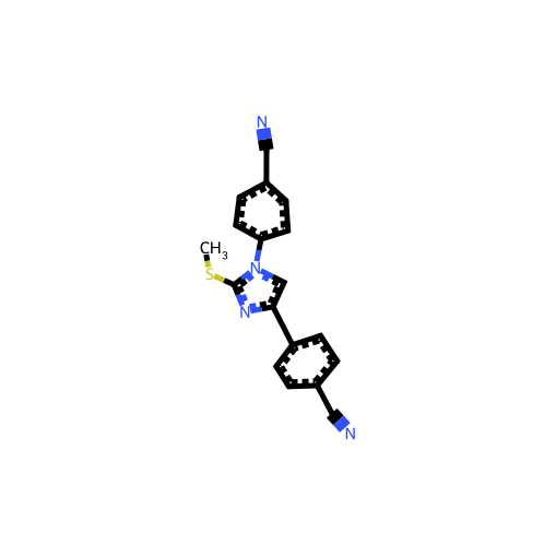 CSc1nc(-c2ccc(C#N)cc2)cn1-c1ccc(C#N)cc1